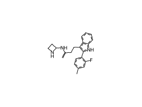 C=C(CCc1c(-c2ccc(C)cc2F)[nH]c2ccccc12)NC1CCN1